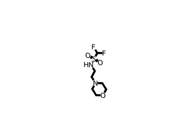 O=S(=O)(NCCN1CCOCC1)C(F)F